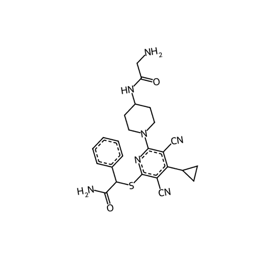 N#Cc1c(SC(C(N)=O)c2ccccc2)nc(N2CCC(NC(=O)CN)CC2)c(C#N)c1C1CC1